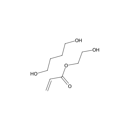 C=CC(=O)OCCO.OCCCCO